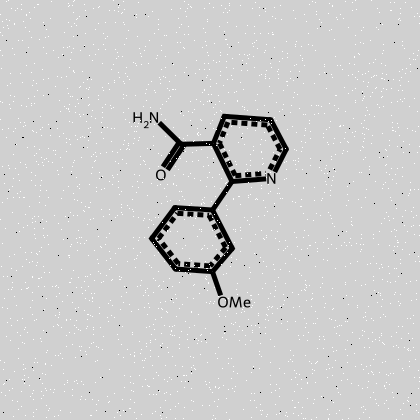 COc1cccc(-c2ncccc2C(N)=O)c1